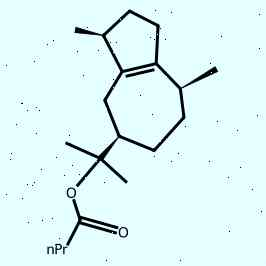 CCCC(=O)OC(C)(C)[C@@H]1CC[C@H](C)C2=C(C1)[C@@H](C)CC2